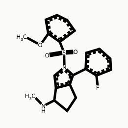 CNC1CCc2c1cn(S(=O)(=O)c1ccccc1OC)c2-c1ccccc1F